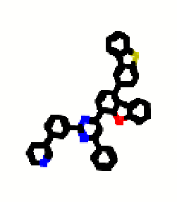 c1ccc(-c2cc(-c3ccc(-c4ccc5sc6ccccc6c5c4)c4c3oc3ccccc34)nc(-c3cccc(-c4cccnc4)c3)n2)cc1